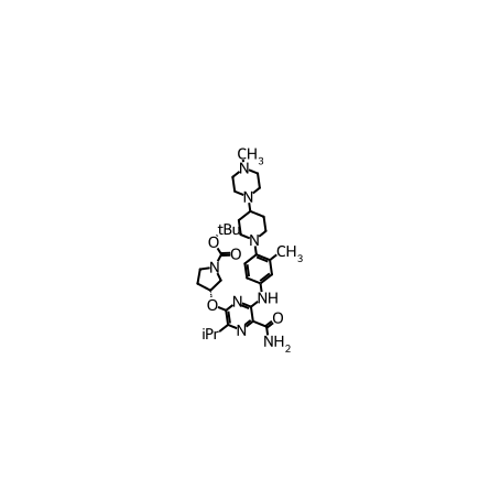 Cc1cc(Nc2nc(O[C@@H]3CCN(C(=O)OC(C)(C)C)C3)c(C(C)C)nc2C(N)=O)ccc1N1CCC(N2CCN(C)CC2)CC1